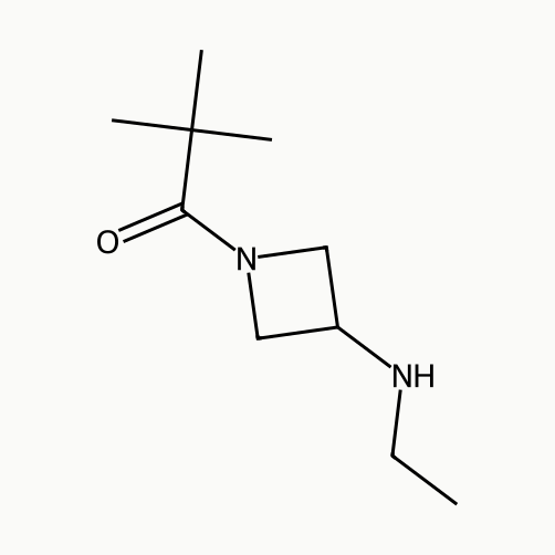 CCNC1CN(C(=O)C(C)(C)C)C1